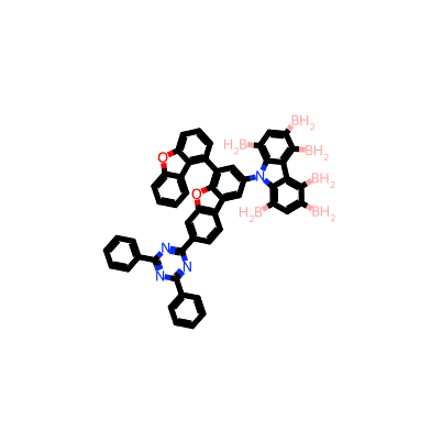 Bc1cc(B)c2c(c1B)c1c(B)c(B)cc(B)c1n2-c1cc(-c2cccc3oc4ccccc4c23)c2oc3cc(-c4nc(-c5ccccc5)nc(-c5ccccc5)n4)ccc3c2c1